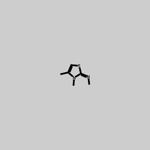 CN=c1scc(C)n1C